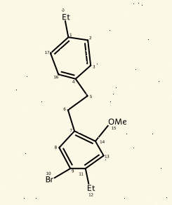 CCc1ccc(CCc2cc(Br)c(CC)cc2OC)cc1